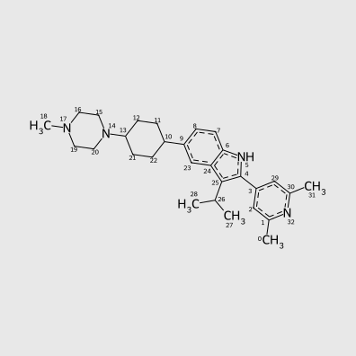 Cc1cc(-c2[nH]c3ccc(C4CCC(N5CCN(C)CC5)CC4)cc3c2C(C)C)cc(C)n1